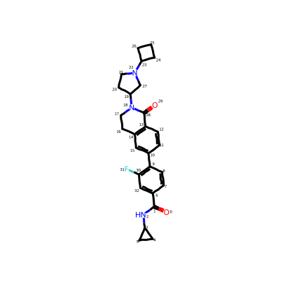 O=C(NC1CC1)c1ccc(-c2ccc3c(c2)CCN(C2CCN(C4CCC4)C2)C3=O)c(F)c1